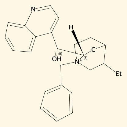 CCC1C[N+]2(Cc3ccccc3)CCC1C[C@H]2[C@H](O)c1ccnc2ccccc12